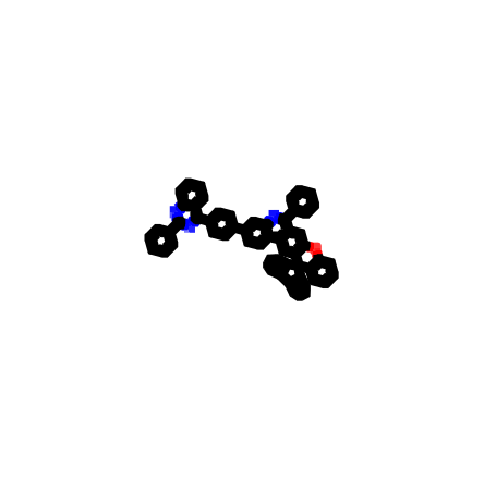 c1ccc(-c2nc(-c3ccc(-c4ccc5c(c4)nc(-c4ccccc4)c4cc6c(cc45)C4(c5ccccc5O6)c5ccccc5-c5ccccc54)cc3)c3ccccc3n2)cc1